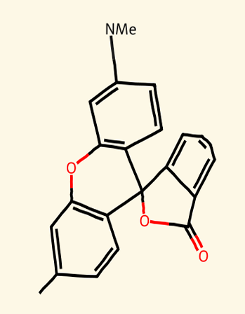 CNc1ccc2c(c1)Oc1cc(C)ccc1C21OC(=O)c2ccccc21